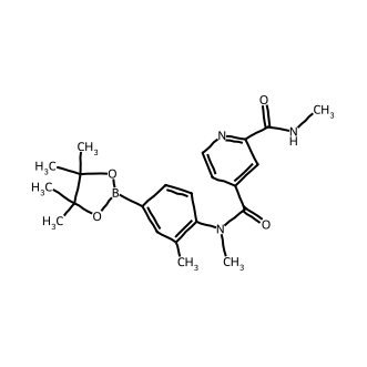 CNC(=O)c1cc(C(=O)N(C)c2ccc(B3OC(C)(C)C(C)(C)O3)cc2C)ccn1